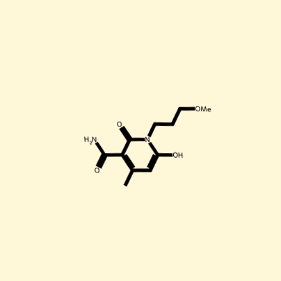 COCCCn1c(O)cc(C)c(C(N)=O)c1=O